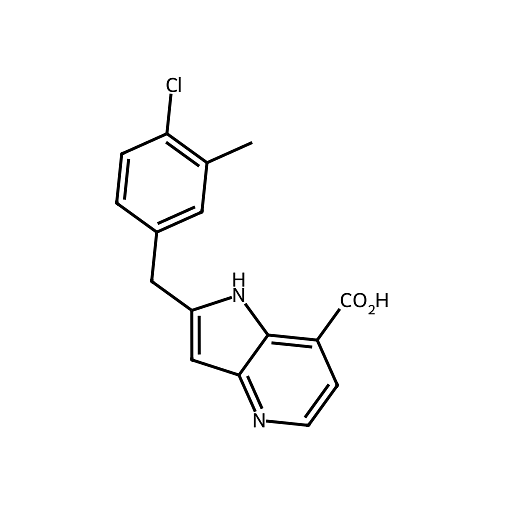 Cc1cc(Cc2cc3nccc(C(=O)O)c3[nH]2)ccc1Cl